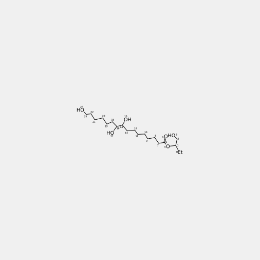 CCC(CO)OC(=O)CCCCCCCC(O)C(O)CCCCCCO